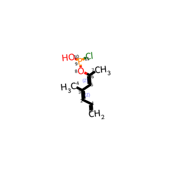 C=C/C=C(C)\C=C(\C)OP(O)Cl